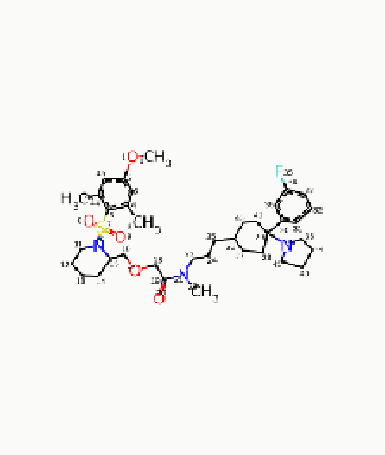 COc1cc(C)c(S(=O)(=O)N2CCCCC2COCC(=O)N(C)CCCC2CCC(c3cccc(F)c3)(N3CCCC3)CC2)c(C)c1